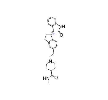 CNC(=O)C1CCN(CCc2ccc3c(c2)CC/C3=C2/C(=O)Nc3ccccc32)CC1